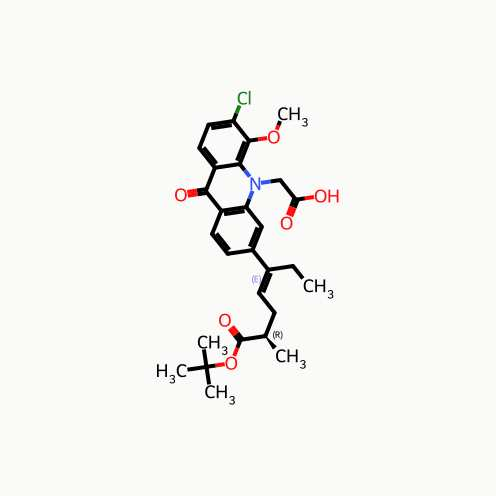 CC/C(=C\C[C@@H](C)C(=O)OC(C)(C)C)c1ccc2c(=O)c3ccc(Cl)c(OC)c3n(CC(=O)O)c2c1